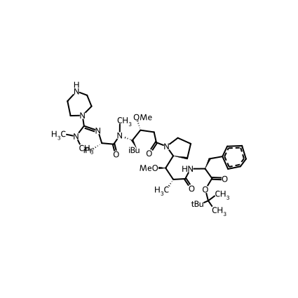 CC[C@H](C)[C@@H]([C@@H](CC(=O)N1CCC[C@H]1[C@H](OC)[C@@H](C)C(=O)N[C@@H](Cc1ccccc1)C(=O)OC(C)(C)C(C)(C)C)OC)N(C)C(=O)[C@@H](/N=C(\N(C)C)N1CCNCC1)C(C)C